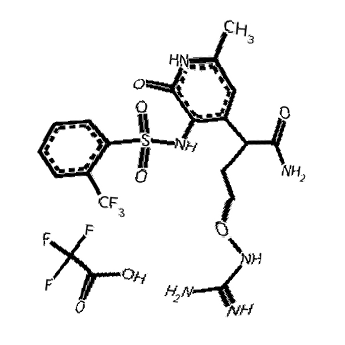 Cc1cc(C(CCONC(=N)N)C(N)=O)c(NS(=O)(=O)c2ccccc2C(F)(F)F)c(=O)[nH]1.O=C(O)C(F)(F)F